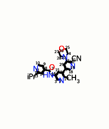 Cc1ncc(NC(=O)c2ccnc(C(C)C)c2)cc1-c1cnc(C#N)c(N2CCOCC2)c1